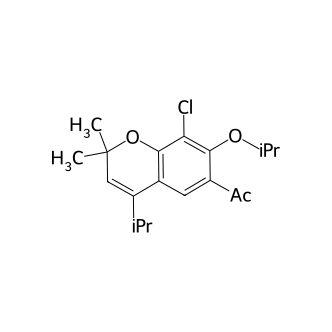 CC(=O)c1cc2c(c(Cl)c1OC(C)C)OC(C)(C)C=C2C(C)C